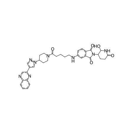 O=C1CCC(N2C(=O)c3ccc(NCCCCC(=O)N4CCC(n5cc(-c6cnc7ccccc7n6)cn5)CC4)cc3C2=O)C(O)N1